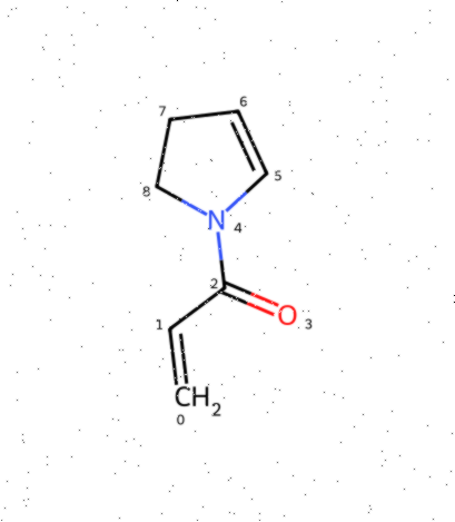 C=CC(=O)N1C=CCC1